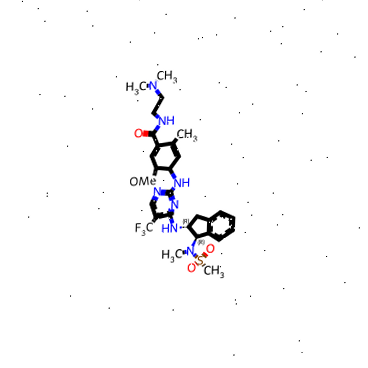 COC1C=C(C(=O)NCCN(C)C)C(C)=CC1Nc1ncc(C(F)(F)F)c(N[C@@H]2Cc3ccccc3[C@H]2N(C)S(C)(=O)=O)n1